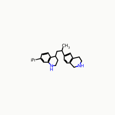 CC(C)c1ccc2c(c1)NCCC2CC(C)c1ccc2c(c1)CCNC2